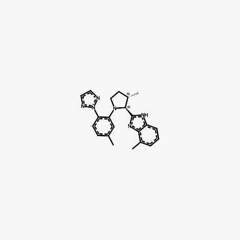 Cc1c[c]c(-n2nccn2)c(N2CC[C@H](C)[C@H]2c2nc3c(C)cccc3[nH]2)c1